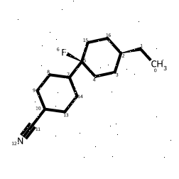 CC[C@H]1CC[C@](F)(C2CCC(C#N)CC2)CC1